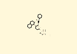 CNC(C)C(=O)Nc1ccc(-c2c(OC)ccc3ccccc23)c(C#Cc2ccccc2)n1